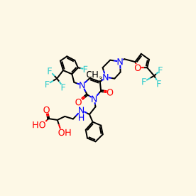 Cc1c(N2CCN(Cc3ccc(C(F)(F)F)o3)CC2)c(=O)n(CC(NCCC(O)C(=O)O)c2ccccc2)c(=O)n1Cc1c(F)cccc1C(F)(F)F